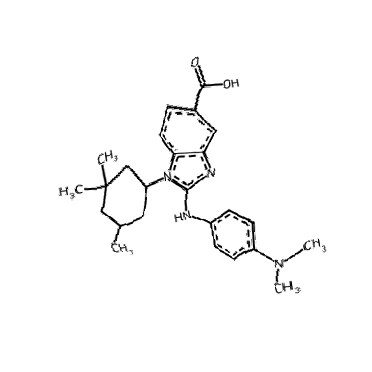 CC1CC(n2c(Nc3ccc(N(C)C)cc3)nc3cc(C(=O)O)ccc32)CC(C)(C)C1